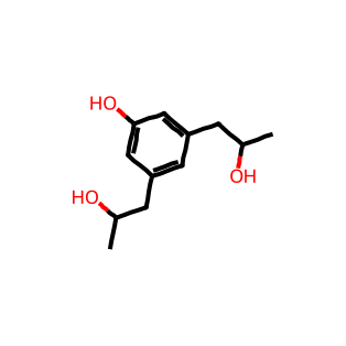 CC(O)Cc1cc(O)cc(CC(C)O)c1